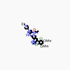 C=CC(=O)Nc1cn(C2CCN(CC)CC2)nc1Nc1cc2c(cn1)cc(-c1c(Cl)c(OC)cc(OC)c1Cl)c1ncnn12